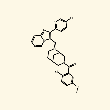 COc1ccc(Cl)c(C(=O)N2CC3CCN(Cc4c(-c5ccc(Cl)cn5)nc5ccccn45)C(C3)C2)n1